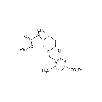 CCOC(=O)c1cc(C)c(CN2CCCC(N(C)C(=O)OC(C)(C)C)C2)c(Cl)c1